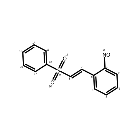 O=Nc1ccccc1C=CS(=O)(=O)c1ccccc1